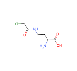 NC(CCNC(=O)CCl)C(=O)O